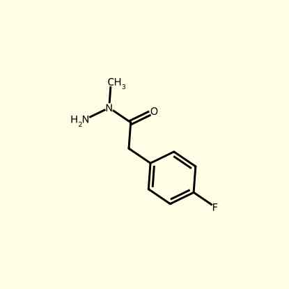 CN(N)C(=O)Cc1ccc(F)cc1